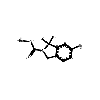 CC(C)(C)OC(=O)N1Cc2ccc(Br)cc2C1(C)C